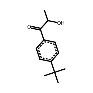 CC(O)C(=O)c1ccc(C(C)(C)C)cc1